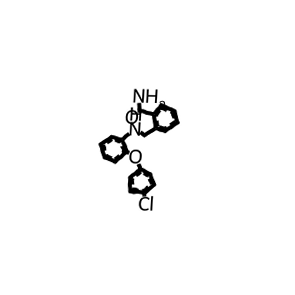 NC(=O)c1ccccc1CNc1ccccc1Oc1ccc(Cl)cc1